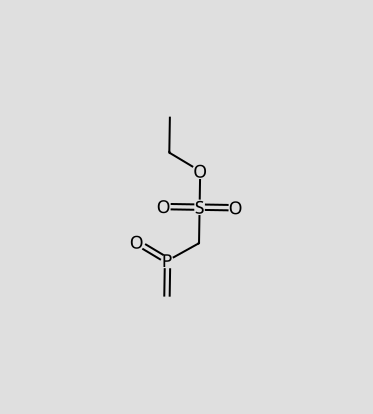 C=P(=O)CS(=O)(=O)OCC